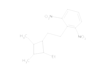 CCC1C(C)C(C)C1CCc1c([N+](=O)[O-])cccc1[N+](=O)[O-]